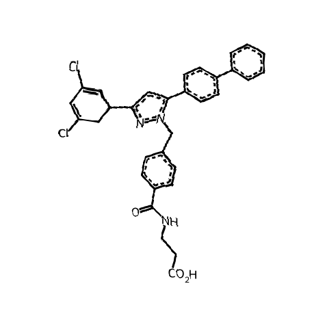 O=C(O)CCNC(=O)c1ccc(Cn2nc(C3C=C(Cl)C=C(Cl)C3)cc2-c2ccc(-c3ccccc3)cc2)cc1